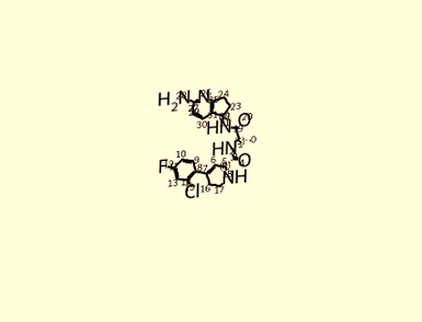 C[C@H](NC(=O)[C@H]1C=C(c2ccc(F)cc2Cl)CCN1)C(=O)N[C@@H]1CCc2nc(N)ccc21